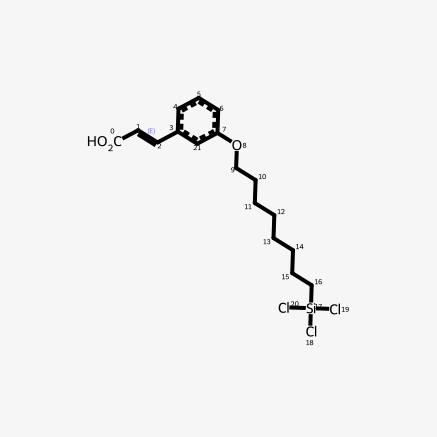 O=C(O)/C=C/c1cccc(OCCCCCCCC[Si](Cl)(Cl)Cl)c1